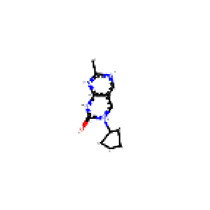 Cc1ncc2cn(C3CCCC3)c(=O)nc2n1